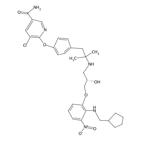 CC(C)(Cc1ccc(Oc2ncc(C(N)=O)cc2Cl)cc1)NC[C@H](O)COc1cccc([N+](=O)[O-])c1NCC1CCCC1